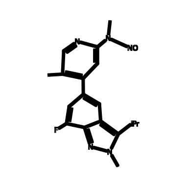 Cc1cnc(N(C)N=O)cc1-c1cc(F)c2nn(C)c(C(C)C)c2c1